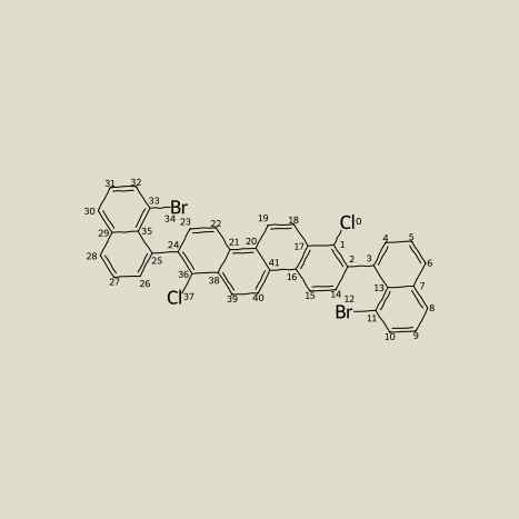 Clc1c(-c2cccc3cccc(Br)c23)ccc2c1ccc1c3ccc(-c4cccc5cccc(Br)c45)c(Cl)c3ccc21